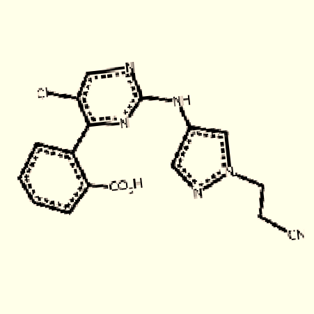 N#CCCn1cc(Nc2ncc(Cl)c(-c3ccccc3C(=O)O)n2)cn1